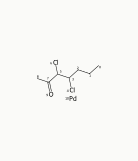 CCCC(Cl)C(Cl)C(C)=O.[Pd]